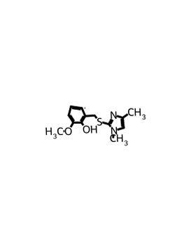 COc1cc[c]c(CSc2nc(C)cn2C)c1O